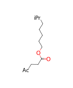 CC(=O)CCC(=O)OCCCCCC(C)C